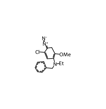 CCN(Cc1ccccc1)C1=C(OC)CC(=[N+]=[N-])C(Cl)=C1